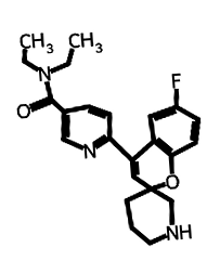 CCN(CC)C(=O)c1ccc(C2=CC3(CCCNC3)Oc3ccc(F)cc32)nc1